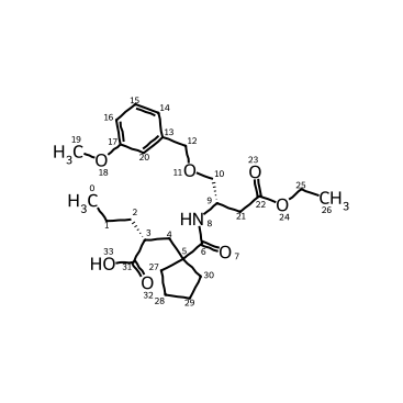 CCC[C@H](CC1(C(=O)N[C@H](COCc2cccc(OC)c2)CC(=O)OCC)CCCC1)C(=O)O